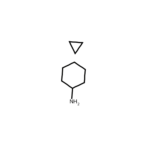 C1CC1.NC1CCCCC1